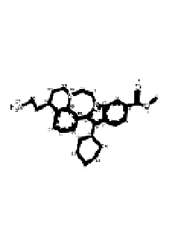 COC(=O)c1ccc2c(C3CCCCC3)c3n(c2c1)CCN1CCC(CCN)c2cccc-3c21